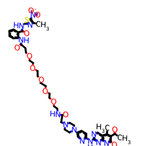 CC(=O)c1c(C)c2cnc(Nc3ccc(N4CCN(CC(=O)NCCOCCOCCOCCOCCOCCC(=O)Nc5ccccc5C(=O)Nc5nc(C)c([N+](=O)[O-])s5)CC4)cn3)nc2n(C2CCCC2)c1=O